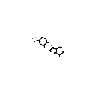 CCOC(=O)c1ncc(Cl)c2occ(Nc3ccc([Si](C)(C)C)cc3F)c12